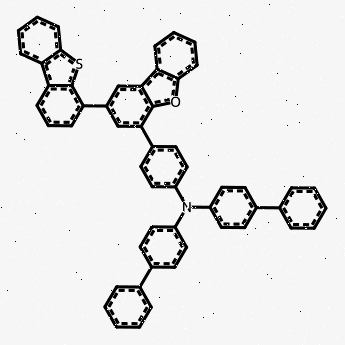 c1ccc(-c2ccc(N(c3ccc(-c4ccccc4)cc3)c3ccc(-c4cc(-c5cccc6c5sc5ccccc56)cc5c4oc4ccccc45)cc3)cc2)cc1